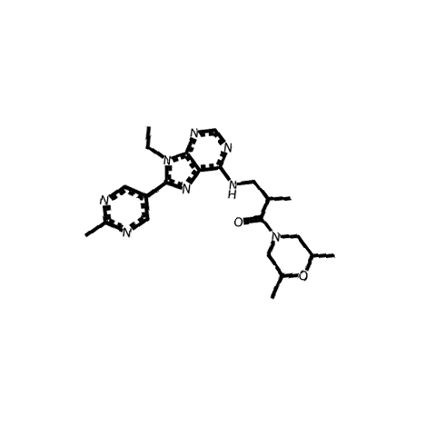 CCn1c(-c2cnc(C)nc2)nc2c(NCC(C)C(=O)N3CC(C)OC(C)C3)ncnc21